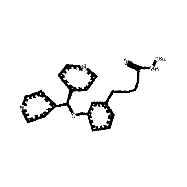 CCCCNC(=O)CCc1cccc(OC(c2ccncc2)c2ccncc2)c1